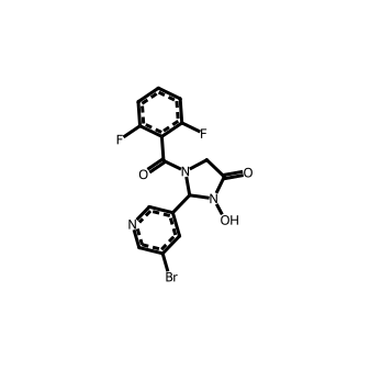 O=C1CN(C(=O)c2c(F)cccc2F)C(c2cncc(Br)c2)N1O